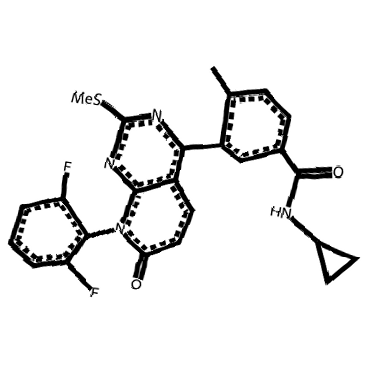 CSc1nc(-c2cc(C(=O)NC3CC3)ccc2C)c2ccc(=O)n(-c3c(F)cccc3F)c2n1